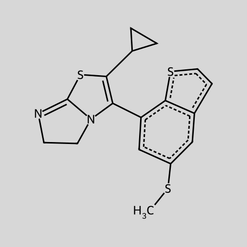 CSc1cc(C2=C(C3CC3)SC3=NCCN32)c2sccc2c1